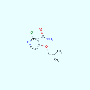 CC(C)COc1ccnc(Cl)c1C(N)=O